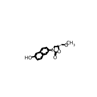 COC[C@H]1CN(c2ccc3cc(O)ccc3c2)C(=O)O1